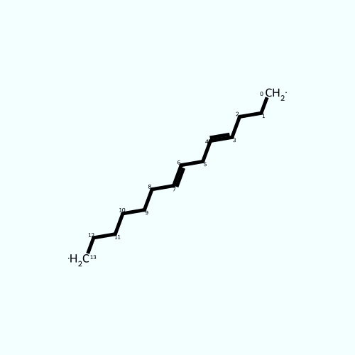 [CH2]CCC=CCC=CCCCCC[CH2]